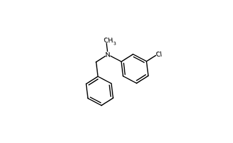 CN(Cc1ccccc1)c1cccc(Cl)c1